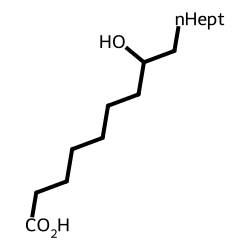 CCCCCCCCC(O)CCCCCCC(=O)O